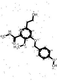 CNC(=O)c1nc(CCO)cc(OCc2ccc(OC)cc2)c1OC